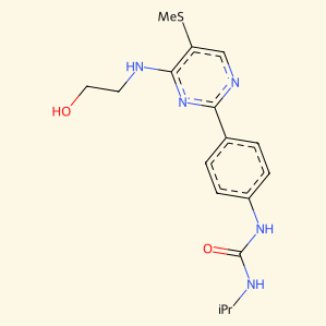 CSc1cnc(-c2ccc(NC(=O)NC(C)C)cc2)nc1NCCO